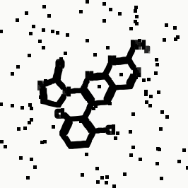 Nc1ncc2cc(-c3c(Cl)cccc3Cl)c(N3CC=NC3=O)nc2n1